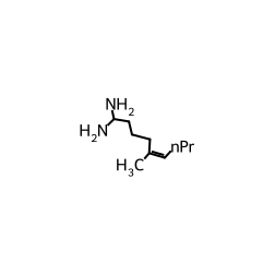 CCCC=C(C)CCCC(N)N